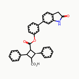 O=C1Cc2ccc(-c3cccc(OC(=O)C4C(c5ccccc5)C(C(=O)O)[C@@H]4c4ccccc4)c3)cc2N1